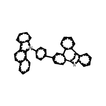 c1ccc2c(c1)-c1cc(-c3ccc(-n4c5ccccc5c5ccc6ccccc6c54)cc3)ccc1-c1cc-2c2ccccc2n1